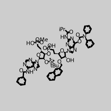 COP(=O)(O)CC[C@H]1O[C@@H](n2cnc3c(NC(=O)c4ccccc4)ncnc32)[C@H](O[Si](C)(C)C(C)(C)C)[C@@H]1OP(=O)(O)CC[C@H]1O[C@@H](n2cnc3c(OC(=O)N(c4ccccc4)c4ccccc4)nc(NC(=O)C(C)C)nc32)[C@H](O)[C@@H]1OCc1ccc2ccccc2c1